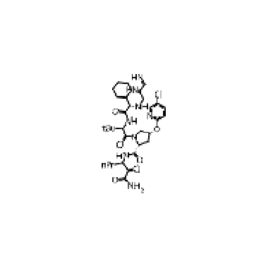 CCCC(NC(=O)[C@H]1C[C@@H](Oc2ccc(Cl)cn2)CN1C(=O)[C@H](NC(=O)[C@@H](NCC(=N)C=N)C1CCCCC1)C(C)(C)C)C(=O)C(N)=O